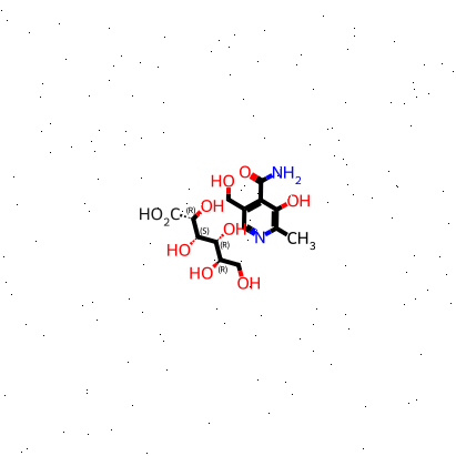 Cc1ncc(CO)c(C(N)=O)c1O.O=C(O)[C@H](O)[C@@H](O)[C@H](O)[C@H](O)CO